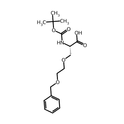 CC(C)(C)OC(=O)N[C@@H](COCCOCc1ccccc1)C(=O)O